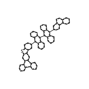 c1ccc2c(c1)ccc1cc(-c3c4ccccc4c(-c4c5ccccc5c(-c5ccc6sc7cc8c9ccccc9c9ccccc9c8cc7c6c5)c5ccccc45)c4ccccc34)ccc12